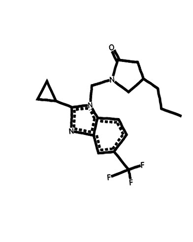 CCCC1CC(=O)N(Cn2c(C3CC3)nc3cc(C(F)(F)F)ccc32)C1